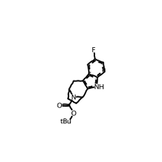 CC(C)(C)OC(=O)N1C2CCC1c1[nH]c3ccc(F)cc3c1C2